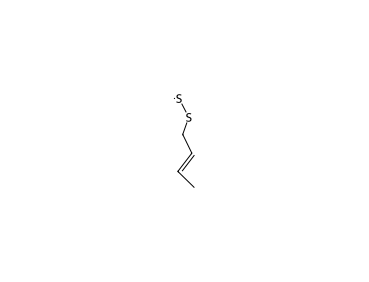 CC=CCS[S]